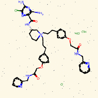 Cl.Cl.Nc1nc(N)c(C(=O)N[C@H]2CCC[N+](CCCc3ccc(OCC(=O)NCc4ccccn4)cc3)(CCCc3ccc(OCC(=O)NCc4ccccn4)cc3)C2)nc1Cl.[Cl-]